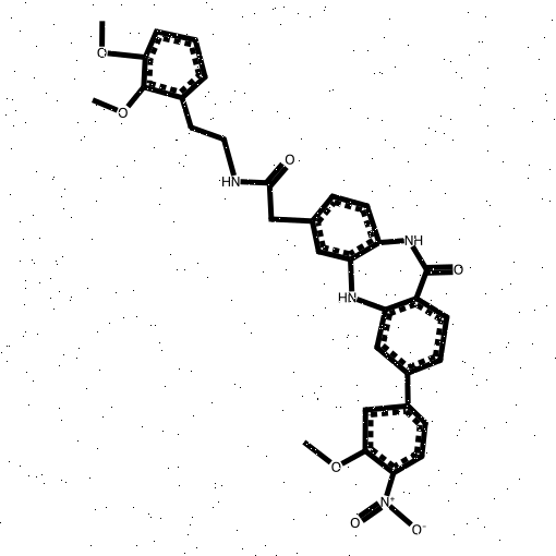 COc1cc(-c2ccc3c(c2)Nc2cc(CC(=O)NCCc4cccc(OC)c4OC)ccc2NC3=O)ccc1[N+](=O)[O-]